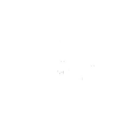 COc1ccc(-c2cc(=O)c3cc(C)cc(C(C)Nc4ccccc4C(=O)O)c3o2)cc1